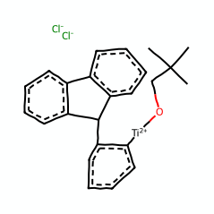 CC(C)(C)C[O][Ti+2][c]1ccccc1C1c2ccccc2-c2ccccc21.[Cl-].[Cl-]